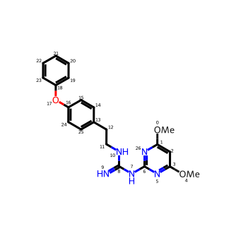 COc1cc(OC)nc(NC(=N)NCCc2ccc(Oc3ccccc3)cc2)n1